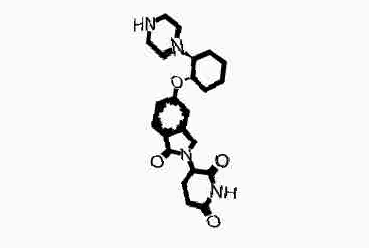 O=C1CCC(N2Cc3cc(O[C@H]4CCCC[C@@H]4N4CCNCC4)ccc3C2=O)C(=O)N1